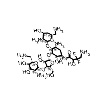 NC[C@@H]1C[C@H](O)[C@@H](N)[C@@H](O[C@H]2[C@H](O[C@@H]3O[C@H](CO)[C@@H](O[C@H]4O[C@@H](CN)[C@@H](O)[C@H](O)[C@H]4N)[C@H]3O)[C@@H](O)[C@H](NC(=O)C(O)C(F)(F)CN)C[C@@H]2N)O1